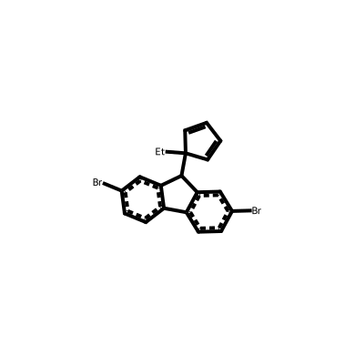 CCC1(C2c3cc(Br)ccc3-c3ccc(Br)cc32)C=CC=C1